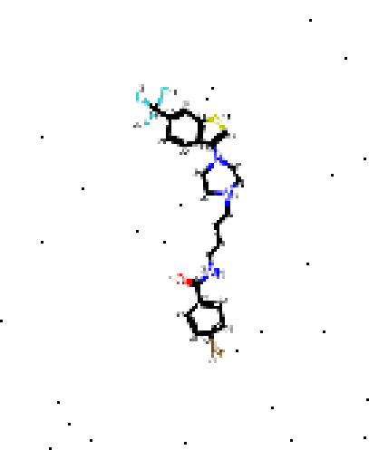 O=C(NCCCCN1CCN(c2csc3cc(C(F)(F)F)ccc23)CC1)c1ccc(Br)cc1